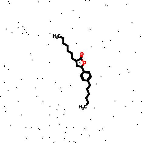 CCCCCCCC1CC(c2ccc(CCCCCC)cc2)OC1=O